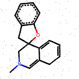 CN1C=C2CC=CC=C2C2(Cc3ccccc3O2)C1